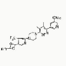 CCCC1OC(c2cnc(N3CCN(c4nnc(-c5cncc(OC)c5)c(C)c4C)CC3)cc2C(F)(F)F)O1